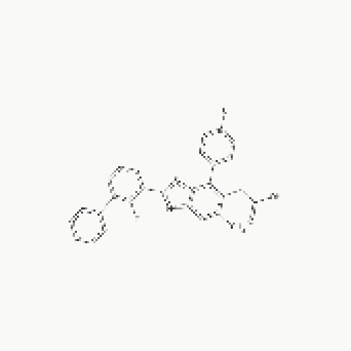 Cc1cc2nc(-c3cccc(-c4ccccc4)c3F)sc2c(-c2ccc(Cl)cc2)c1CC(=O)O